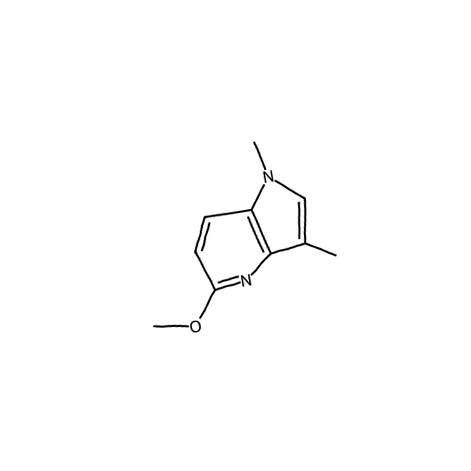 COc1ccc2c(n1)c(C)cn2C